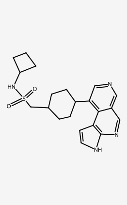 O=S(=O)(CC1CCC(c2cncc3cnc4[nH]ccc4c23)CC1)NC1CCC1